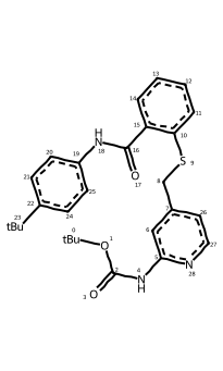 CC(C)(C)OC(=O)Nc1cc(CSc2ccccc2C(=O)Nc2ccc(C(C)(C)C)cc2)ccn1